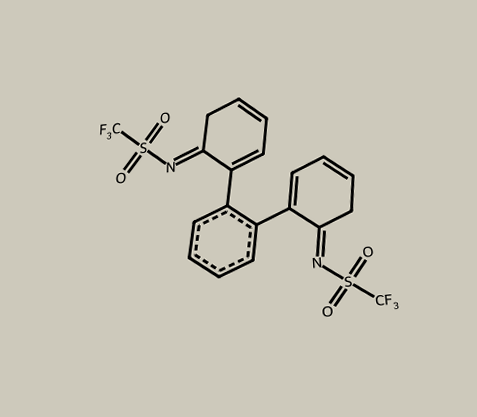 O=S(=O)(N=C1CC=CC=C1c1ccccc1C1=CC=CCC1=NS(=O)(=O)C(F)(F)F)C(F)(F)F